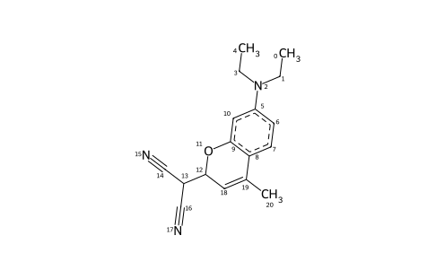 CCN(CC)c1ccc2c(c1)OC(C(C#N)C#N)C=C2C